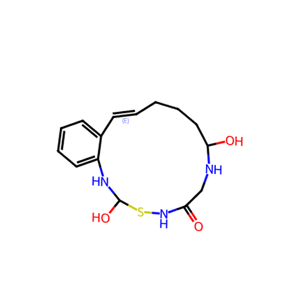 O=C1CNC(O)CCC/C=C/c2ccccc2NC(O)SN1